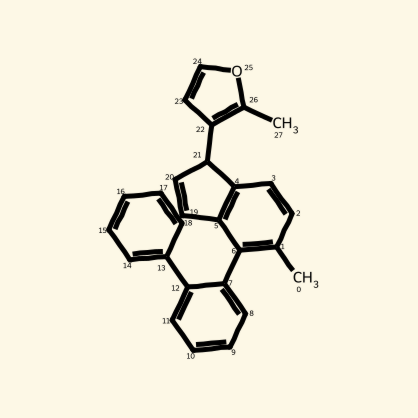 Cc1ccc2c(c1-c1ccccc1-c1ccccc1)C=CC2c1ccoc1C